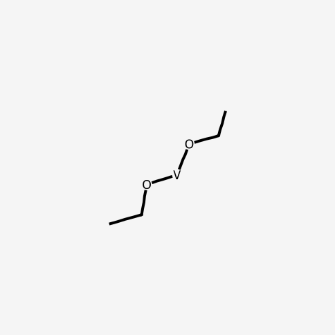 CC[O][V][O]CC